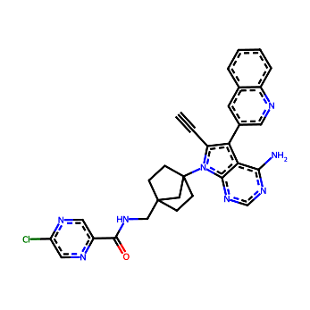 C#Cc1c(-c2cnc3ccccc3c2)c2c(N)ncnc2n1C12CCC(CNC(=O)c3cnc(Cl)cn3)(CC1)C2